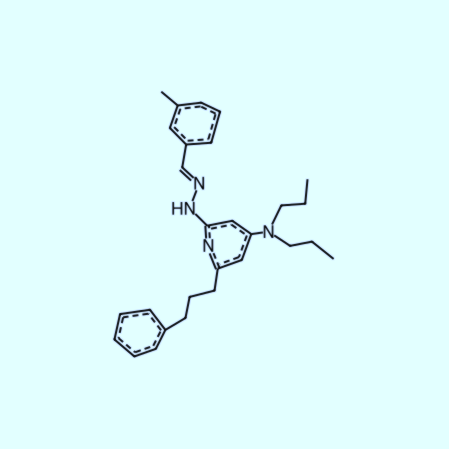 CCCN(CCC)c1cc(CCCc2ccccc2)nc(N/N=C/c2cccc(C)c2)c1